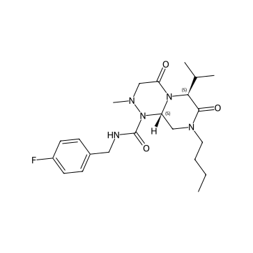 CCCCN1C[C@H]2N(C(=O)CN(C)N2C(=O)NCc2ccc(F)cc2)[C@@H](C(C)C)C1=O